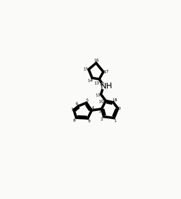 [c]1ccc(-c2ccccc2)c(CNC2CCCC2)c1